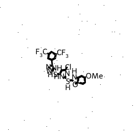 COc1ccc2oc(=[SH]c3nc(Cl)cc(=[SH]c4nnc(-c5cc(C(F)(F)F)cc(C(F)(F)F)c5)[nH]4)[nH]3)[nH]c2c1